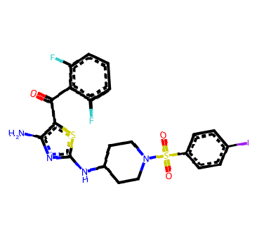 Nc1nc(NC2CCN(S(=O)(=O)c3ccc(I)cc3)CC2)sc1C(=O)c1c(F)cccc1F